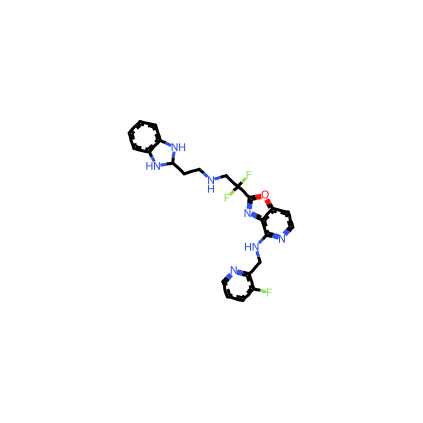 Fc1cccnc1CNc1nccc2oc(C(F)(F)CNCCC3Nc4ccccc4N3)nc12